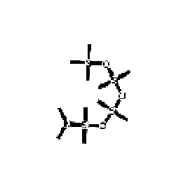 CN(C)[Si](C)(C)O[Si](C)(C)O[Si](C)(C)O[Si](C)(C)C